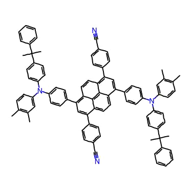 Cc1ccc(N(c2ccc(-c3cc(-c4ccc(C#N)cc4)c4ccc5c(-c6ccc(N(c7ccc(C(C)(C)c8ccccc8)cc7)c7ccc(C)c(C)c7)cc6)cc(-c6ccc(C#N)cc6)c6ccc3c4c65)cc2)c2ccc(C(C)(C)c3ccccc3)cc2)cc1C